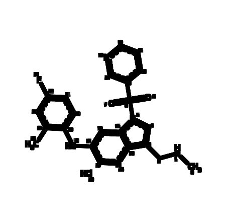 CNCc1cn(S(=O)(=O)c2cccnc2)c2cc(Nc3ccc(F)cc3C)cnc12.Cl